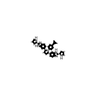 c1cc(N2[C@H](c3ccc4nc([C@@H]5CCCN5)[nH]c4c3)CC[C@H]2c2ccc3nc([C@@H]4CCCN4)[nH]c3c2)ccc1C1CC1